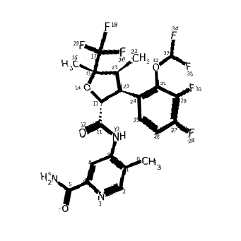 Cc1cnc(C(N)=O)cc1NC(=O)[C@@H]1O[C@](C)(C(F)(F)F)[C@@H](C)[C@H]1c1ccc(F)c(F)c1OC(F)F